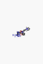 C[C@@H]1CCC[C@H](C)N1CCCCCN1C(=O)C(c2cncc(C(=N)N)n2)Oc2ccccc21